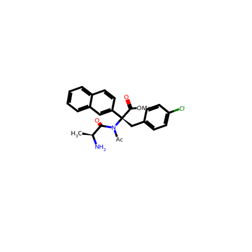 COC(=O)[C@@](Cc1ccc(Cl)cc1)(c1ccc2ccccc2c1)N(C(C)=O)C(=O)[C@H](C)N